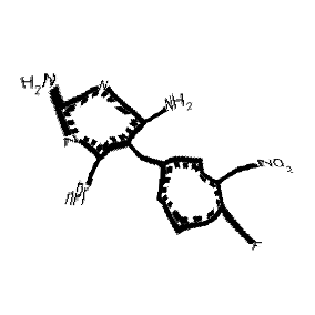 CCCc1nc(N)nc(N)c1-c1ccc(F)c([N+](=O)[O-])c1